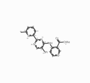 COC(=O)c1cnccc1Nc1nc(-c2cccc(C)n2)ncc1C(C)C